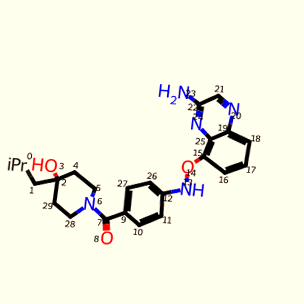 CC(C)CC1(O)CCN(C(=O)c2ccc(NOc3cccc4ncc(N)nc34)cc2)CC1